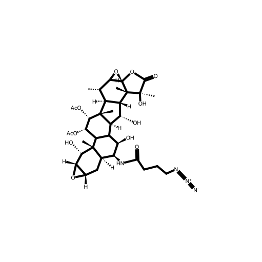 CC(=O)O[C@H]1C2C([C@@H](O)[C@@H](NC(=O)CCCN=[N+]=[N-])[C@H]3C[C@@H]4O[C@@H]4[C@H](O)[C@]23C)[C@@H]2[C@@H](O)[C@@H]3[C@H]([C@H](C)[C@H]4O[C@]45OC(=O)[C@@](C)(O)[C@]35C)[C@@]2(C)[C@H]1OC(C)=O